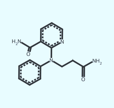 NC(=O)[CH]CN(c1ccccc1)c1ncccc1C(N)=O